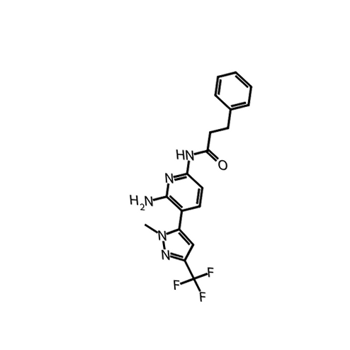 Cn1nc(C(F)(F)F)cc1-c1ccc(NC(=O)CCc2ccccc2)nc1N